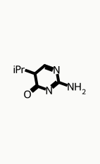 CC(C)C1C=NC(N)=NC1=O